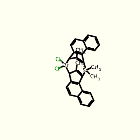 CC1=C2c3c(ccc4ccccc34)[CH]1[Zr]([Cl])([Cl])[CH]1C(C)=C(c3c1ccc1ccccc31)[Si]2(C)C